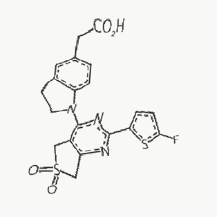 O=C(O)Cc1ccc2c(c1)CCN2c1nc(-c2ccc(F)s2)nc2c1CS(=O)(=O)C2